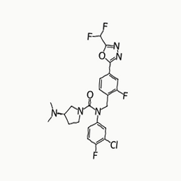 CN(C)[C@@H]1CCN(C(=O)N(Cc2ccc(-c3nnc(C(F)F)o3)cc2F)c2ccc(F)c(Cl)c2)C1